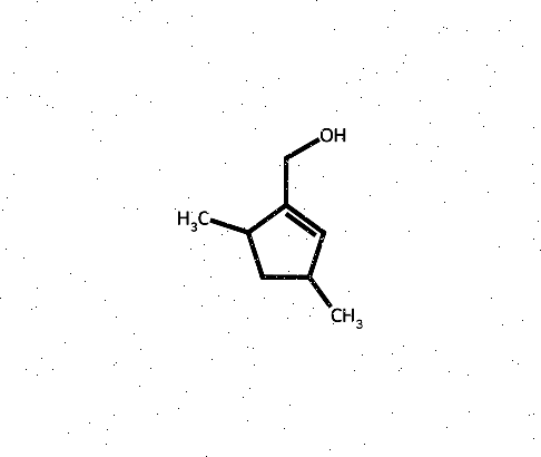 CC1C=C(CO)C(C)C1